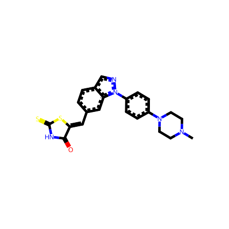 CN1CCN(c2ccc(-n3ncc4ccc(/C=C5\SC(=S)NC5=O)cc43)cc2)CC1